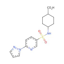 O=C(O)C1CCC(NS(=O)(=O)c2ccc(-n3cccn3)nc2)CC1